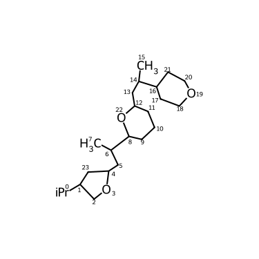 CC(C)C1COC(CC(C)C2CCCC(CC(C)C3CCOCC3)O2)C1